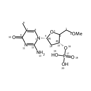 COCC1O[C@@H](n2cc(C)c(=O)nc2N)C[C@H]1OP(=O)(O)O